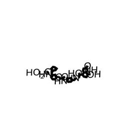 O=C(O)NC(c1ccccc1)c1cccc(OCC(=O)Nc2ccc(CNCC(O)c3ccc(O)c4[nH]c(=O)ccc34)cc2)c1